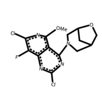 COc1nc(Cl)c(F)c2nc(Cl)nc(N3CC4COC(C4)C3)c12